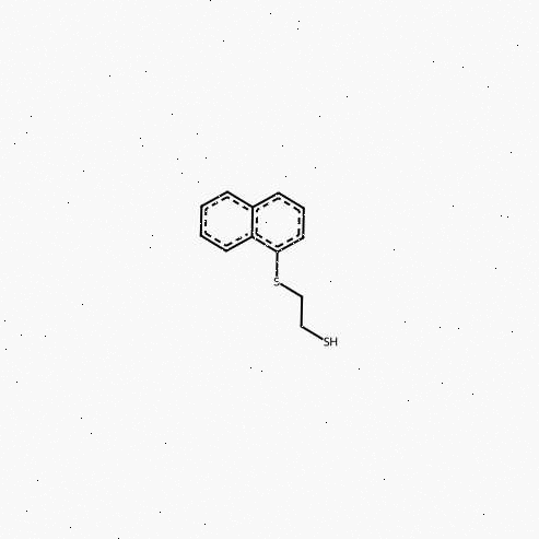 SCCSc1cccc2ccccc12